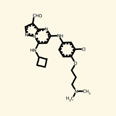 CN(C)CCCOc1ccc(Nc2cc(NC3CCC3)n3ncc(C=O)c3n2)cc1Cl